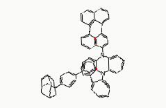 c1ccc(-c2cccc3cccc(-c4ccc(N(c5ccc(-c6ccc(C78CC9CC(CC(C9)C7)C8)cc6)cc5)c5ccccc5-n5c6ccccc6c6ccccc65)cc4)c23)cc1